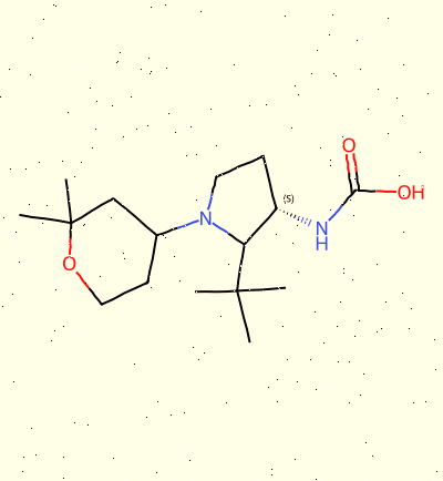 CC1(C)CC(N2CC[C@H](NC(=O)O)C2C(C)(C)C)CCO1